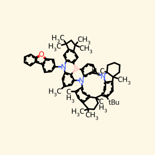 Cc1cc2c3c(c1)N1c4cc5c(cc4C)C(C)(C)CCC5(C)c4cc5c(cc4C(C)(C)C)C4(C)CCCCC4(C)N5c4ccc(c1c4)B3c1cc3c(cc1N2c1ccc2c(c1)oc1ccccc12)C(C)(C)CC3(C)C